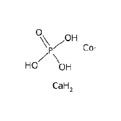 O=P(O)(O)O.[CaH2].[Co]